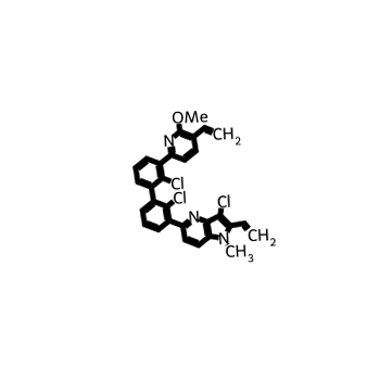 C=Cc1ccc(-c2cccc(-c3cccc(-c4ccc5c(n4)c(Cl)c(C=C)n5C)c3Cl)c2Cl)nc1OC